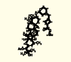 CC(=O)O[C@@H]([C@H]1C[C@@H](C)[C@H]2[C@H](O1)C(=O)[C@@]1(C)[C@@H]3CC[C@H]4C(C)(C)[C@@H](O[C@H]5CN(CC6CN(C(=O)OC(C)(C)C)C6)CCO5)CC[C@@]45C[C@@]35CC[C@]21C)C(C)(C)O